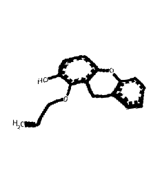 C=CCOc1c(O)ccc2c1Cc1ccccc1O2